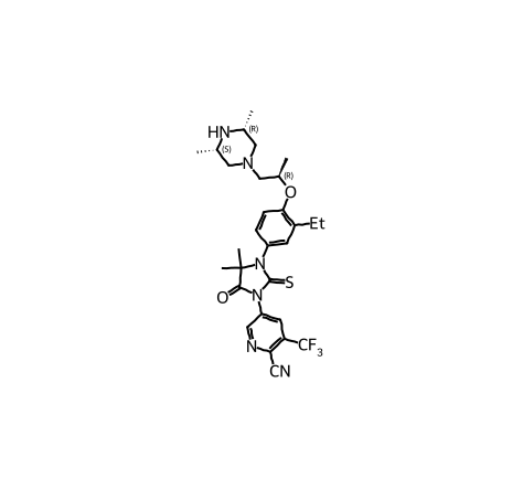 CCc1cc(N2C(=S)N(c3cnc(C#N)c(C(F)(F)F)c3)C(=O)C2(C)C)ccc1O[C@H](C)CN1C[C@@H](C)N[C@@H](C)C1